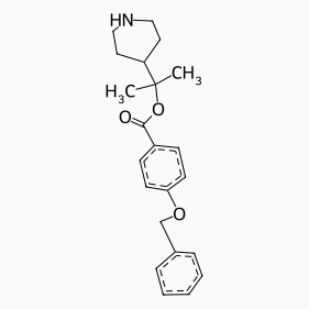 CC(C)(OC(=O)c1ccc(OCc2ccccc2)cc1)C1CCNCC1